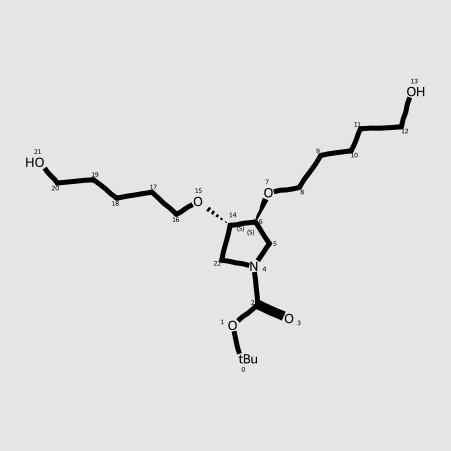 CC(C)(C)OC(=O)N1C[C@H](OCCCCCO)[C@@H](OCCCCCO)C1